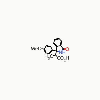 COc1ccc(C2(C(C)C(=O)O)NC(=O)c3ccccc32)cc1